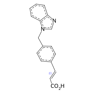 O=C(O)/C=C/c1ccc(Cn2cnc3ccccc32)cc1